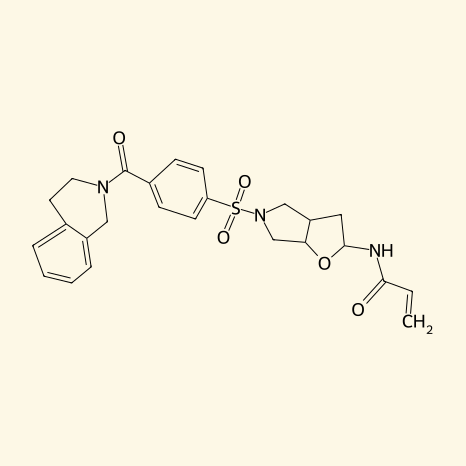 C=CC(=O)NC1CC2CN(S(=O)(=O)c3ccc(C(=O)N4CCc5ccccc5C4)cc3)CC2O1